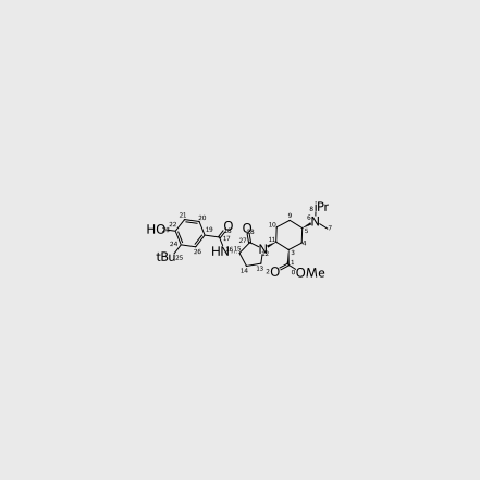 COC(=O)[C@@H]1C[C@H](N(C)C(C)C)CC[C@@H]1N1CC[C@H](NC(=O)c2ccc(O)c(C(C)(C)C)c2)C1=O